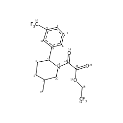 CC1CCC(c2cncc(C(F)(F)F)c2)N(C(=O)C(=O)OCC(F)(F)F)C1